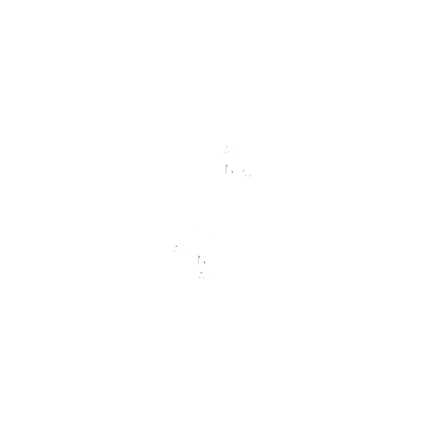 CC(=O)N(Cc1ccc(CN(C(C)=O)C(C)=O)cc1)C(C)=O